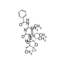 CC[C@]12O[C@@H](n3cc(C)c(NC(=O)c4ccccc4)nc3=O)C(OC13CC3)[C@H]2O[Si](CC)(CC)CC